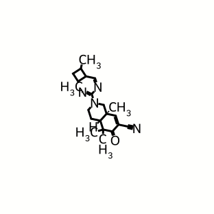 C/N=C(\N=C/C1CCC1C)N1CC[C@H]2C(C)(C)C(=O)C(C#N)=C[C@]2(C)C1